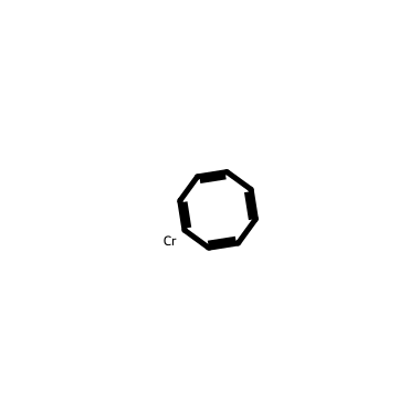 C1=CC=CC=CC=C1.[Cr]